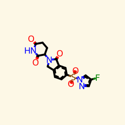 O=C1CCC(N2Cc3ccc(S(=O)(=O)n4cc(F)cn4)cc3C2=O)C(=O)N1